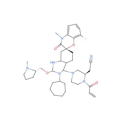 C=CC(=O)N1CCN(C2C3CC[C@]4(CC3NC(OC[C@@H]3CCCN3C)N2C2CCCCCC2)Oc2c(F)cccc2N(C)C4=O)C[C@H]1CC#N